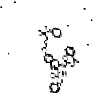 CC(OC(=O)CN1Cc2cc(OCCCC(=O)N(C)C3CCCCC3)ccc2N=C1NC(=O)Oc1ccccc1)c1ccccc1